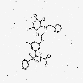 Cc1cc(OCCN(Cc2ccccc2)c2c(Cl)c(Cl)nc(Cl)c2Cl)cc(N(C(C)(C)P(=O)=O)S(=O)(=O)c2ccccc2)c1